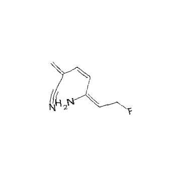 C=C(C#N)/C=C\C(N)=C/CF